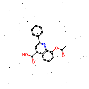 CC(=O)Oc1cccc2c(C(=O)O)cc(-c3ccccc3)nc12